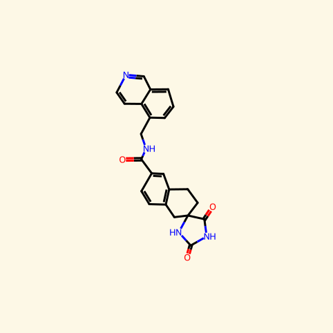 O=C1NC(=O)C2(CCc3cc(C(=O)NCc4cccc5cnccc45)ccc3C2)N1